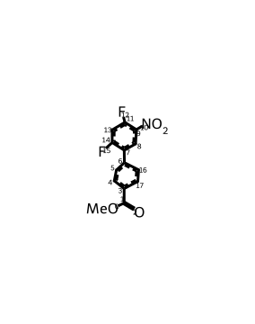 COC(=O)c1ccc(-c2cc([N+](=O)[O-])c(F)cc2F)cc1